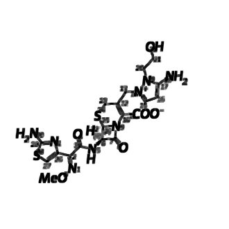 CON=C(C(=O)N[C@@H]1C(=O)N2C(C(=O)[O-])=C(C[n+]3ccc(N)n3CCO)CS[C@H]12)c1csc(N)n1